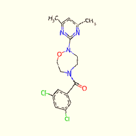 Cc1cc(C)nc(N2CCN(C(=O)c3cc(Cl)cc(Cl)c3)CCO2)n1